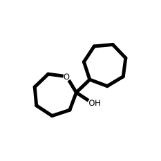 OC1(C2CCCCCC2)CCCCCO1